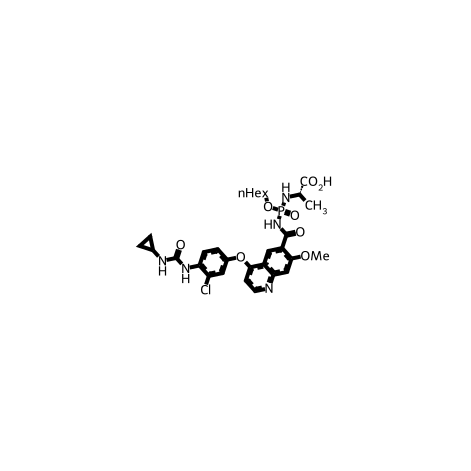 CCCCCCOP(=O)(NC(=O)c1cc2c(Oc3ccc(NC(=O)NC4CC4)c(Cl)c3)ccnc2cc1OC)N[C@@H](C)C(=O)O